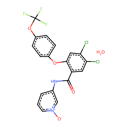 O.O=C(Nc1ccc[n+]([O-])c1)c1cc(Cl)c(Cl)cc1Oc1ccc(OC(F)(F)F)cc1